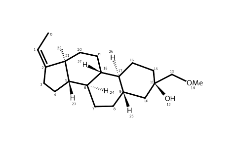 C/C=C1/CC[C@H]2[C@@H]3CC[C@H]4C[C@@](O)(COC)CC[C@@H]4[C@H]3CC[C@]12C